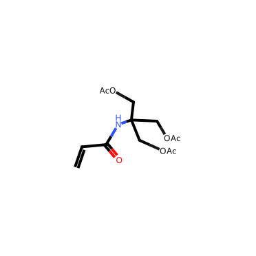 C=CC(=O)NC(COC(C)=O)(COC(C)=O)COC(C)=O